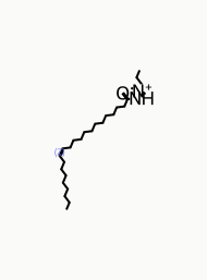 CCCCCCCC/C=C\CCCCCCCCCCCC(=O)N[N+](C)(C)CCC